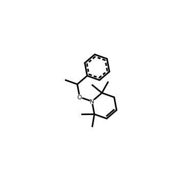 CC(ON1C(C)(C)C=CCC1(C)C)c1ccccc1